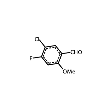 COc1cc(F)c(Cl)cc1C=O